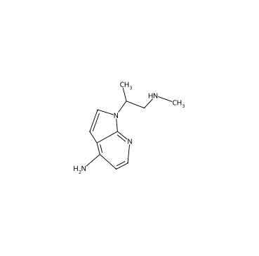 CNCC(C)n1ccc2c(N)ccnc21